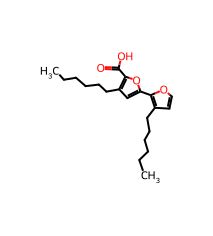 CCCCCCc1cc(-c2occc2CCCCCC)oc1C(=O)O